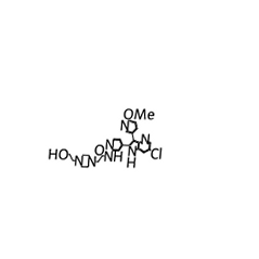 COc1ccc(-c2c(-c3ccnc(NC(=O)CN4CCN(CCO)CC4)c3)[nH]c3cc(Cl)cnc23)cn1